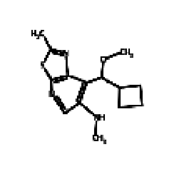 CNc1cnc2sc(C)nc2c1C(OC)C1CCC1